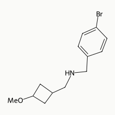 COC1CC(CNCc2ccc(Br)cc2)C1